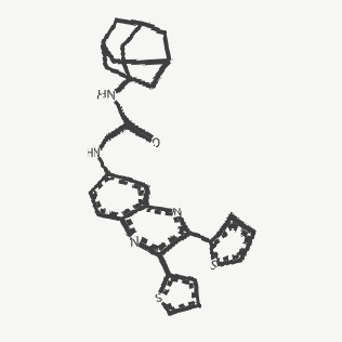 O=C(Nc1ccc2nc(-c3cccs3)c(-c3cccs3)nc2c1)NC12CC3CC(CC(C3)C1)C2